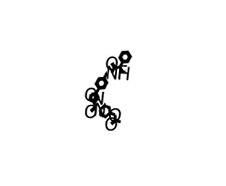 CC(=O)OC1CCN(C(=O)c2coc(-c3ccc(CNC(=O)C(F)c4ccccc4)cc3)n2)CC1